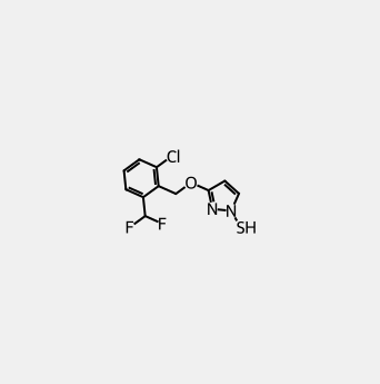 FC(F)c1cccc(Cl)c1COc1ccn(S)n1